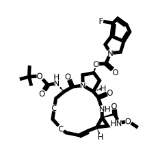 CONC(=O)[C@@]12C[C@H]1C=CCCCCC[C@H](NC(=O)OC(C)(C)C)C(=O)N1C[C@H](OC(=O)N3Cc4cccc(F)c4C3)C[C@H]1C(=O)N2